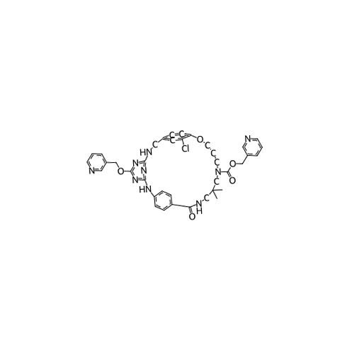 CC1(C)CNC(=O)c2ccc(cc2)Nc2nc(nc(OCc3cccnc3)n2)NCc2ccc(c(Cl)c2)OCCCN(C(=O)OCc2cccnc2)C1